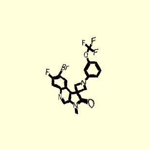 CN1C(=O)C2(CN(c3cccc(OC(F)(F)F)c3)C2)c2c1cnc1cc(F)c(Br)cc21